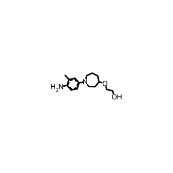 Cc1cc(N2CCCC(OCCO)CC2)ccc1N